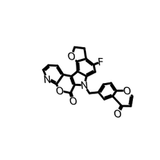 O=c1ccoc2ccc(Cn3c4cc(F)c5c(c4c4c6cccnc6oc(=O)c43)OCC5)cc12